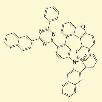 c1ccc(-c2nc(-c3ccc4ccccc4c3)nc(-c3ccc(-n4c5ccccc5c5cc6ccccc6cc54)cc3-c3cccc4oc5ccc6ccccc6c5c34)n2)cc1